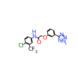 Cn1nnc(-c2cccc(OCC(=O)Nc3ccc(Cl)c(C(F)(F)F)c3)c2)n1